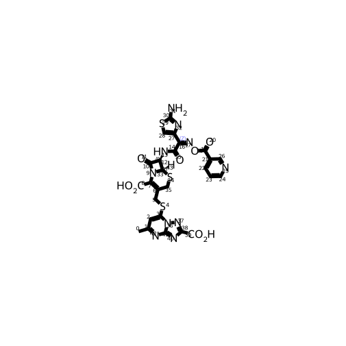 Cc1cc(SCC2=C(C(=O)O)N3C(=O)[C@@H](NC(=O)/C(=N\OC(=O)c4cccnc4)c4csc(N)n4)[C@H]3SC2)n2nc(C(=O)O)nc2n1